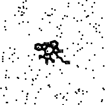 Cc1[nH]c2ccccc2c1C1=C(c2c(CCCC#N)[nH]c3ccccc23)C(=O)NC1=O